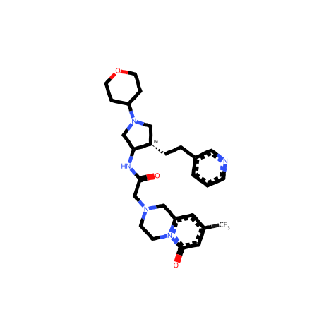 O=C(CN1CCn2c(cc(C(F)(F)F)cc2=O)C1)NC1CN(C2CCOCC2)C[C@@H]1CCc1cccnc1